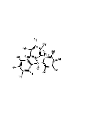 [2H]c1c([2H])c([2H])[c]([Sn]([Cl])([c]2c([2H])c([2H])c([2H])c([2H])c2[2H])[c]2c([2H])c([2H])c([2H])c([2H])c2[2H])c([2H])c1[2H]